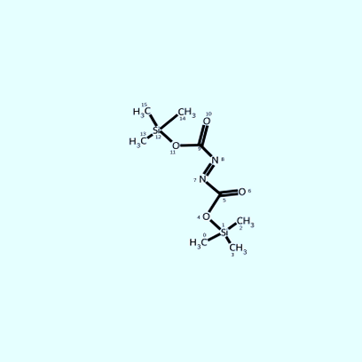 C[Si](C)(C)OC(=O)N=NC(=O)O[Si](C)(C)C